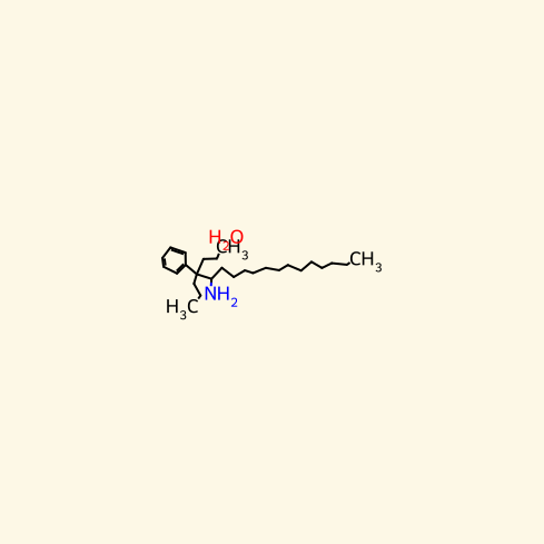 CCCCCCCCCCCCCC(N)C(CCC)(CCC)c1ccccc1.O